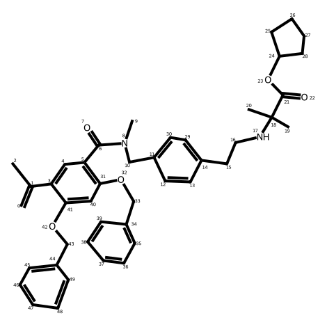 C=C(C)c1cc(C(=O)N(C)Cc2ccc(CCNC(C)(C)C(=O)OC3CCCC3)cc2)c(OCc2ccccc2)cc1OCc1ccccc1